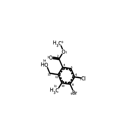 COC(=O)c1cc(Cl)c(Br)c(C)c1CO